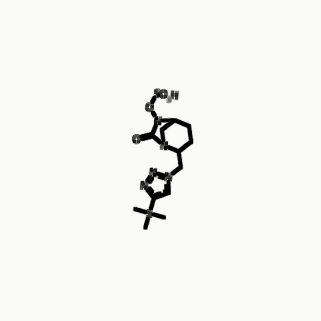 CS(C)(C)c1cn(CC2CCC3CN2C(=O)N3OS(=O)(=O)O)nn1